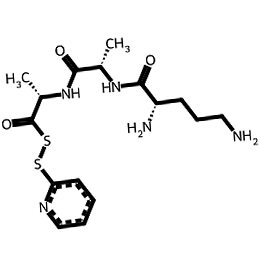 C[C@H](NC(=O)[C@@H](N)CCCN)C(=O)N[C@@H](C)C(=O)SSc1ccccn1